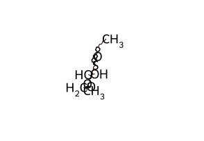 C=C(C)C(=O)OCCCC(O)C(O)CCCSc1ccc2cc(-c3ccc(CCCCC)cc3)oc2c1